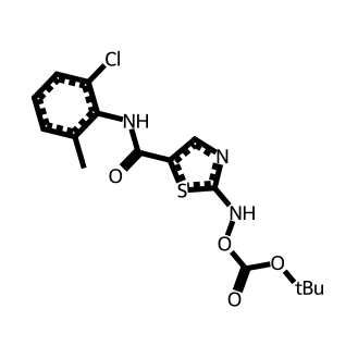 Cc1cccc(Cl)c1NC(=O)c1cnc(NOC(=O)OC(C)(C)C)s1